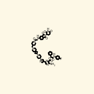 Nc1ncc(-c2cnn(C3CCN(C4CC5(CCN(CC6CCN(C(=O)CNc7ccc8c(c7)C(=O)N(C7CCC(=O)NC7=O)C8=O)CC6)CC5)C4)CC3)c2)nc1C(=O)O[C@@H](C(=O)Nc1ccc(F)cc1)c1ccccc1